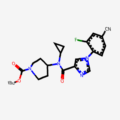 CC(C)(C)OC(=O)N1CCC(N(C(=O)c2cn(-c3ccc(C#N)cc3F)cn2)C2CC2)CC1